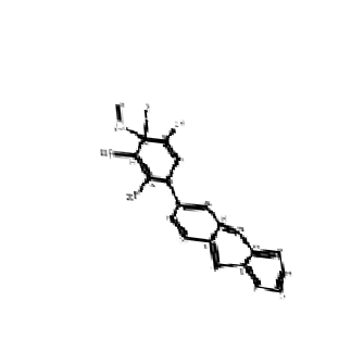 COC1(F)C(F)=CC(c2ccc3cc4ccccc4cc3c2)C(F)=C1F